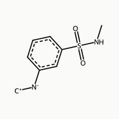 [CH2+][N-]c1cccc(S(=O)(=O)NC)c1